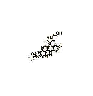 CS(C)(=O)=Nc1cc(F)c2c(Nc3ccc(F)cc3O[C@@H]3CCN(CCO)C3)ncnc2c1